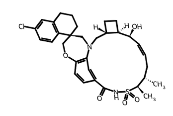 C[C@@H]1[C@@H](C)CC=C[C@H](O)[C@@H]2CC[C@H]2CN2C[C@@]3(CCCc4cc(Cl)ccc43)COc3ccc(cc32)C(=O)NS1(=O)=O